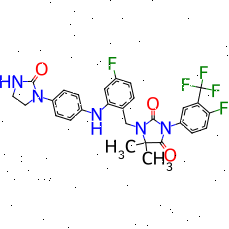 CC1(C)C(=O)N(c2ccc(F)c(C(F)(F)F)c2)C(=O)N1Cc1ccc(F)cc1Nc1ccc(N2CCNC2=O)cc1